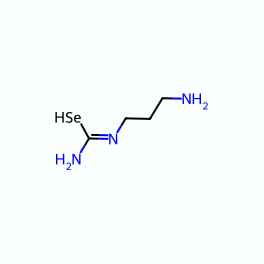 NCCCN=C(N)[SeH]